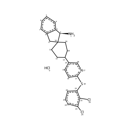 Cl.N[C@@H]1c2ccccc2CC12CCC(c1ccc(Sc3ccnc(Cl)c3Cl)nc1)CC2